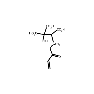 C=CC(=O)[O][GeH2][CH](C(=O)O)C(C(=O)O)(C(=O)O)C(=O)O